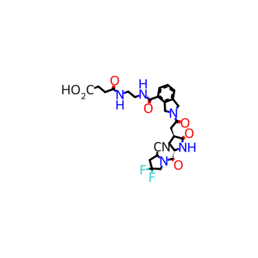 N#CC1CC(F)(F)CN1C(=O)[C@@H]1C[C@@H](CC(=O)N2Cc3cccc(C(=O)NCCNC(=O)CCC(=O)O)c3C2)C(=O)N1